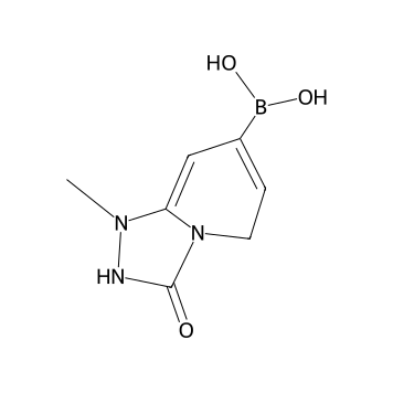 CN1NC(=O)N2CC=C(B(O)O)C=C12